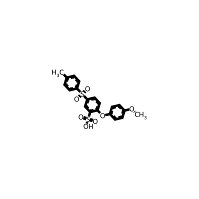 COc1ccc(Oc2ccc(S(=O)(=O)c3ccc(C)cc3)cc2S(=O)(=O)O)cc1